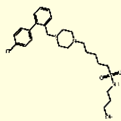 O=S(=O)(CCCCCN1CCN(Cc2ccccc2-c2ccc(Cl)cc2)CC1)NCCCO